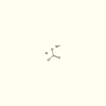 O=C([O-])[O-].[N].[Ni+2]